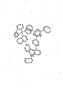 c1ccc(-c2nc(-c3ccccc3)nc(-c3ccc(-c4cccc5c4c4cc(-c6nc7c(c8ccccc68)C6(c8ccccc8-c8ccccc86)c6ccccc6-7)ccc4n5-c4ccccc4)cc3)n2)cc1